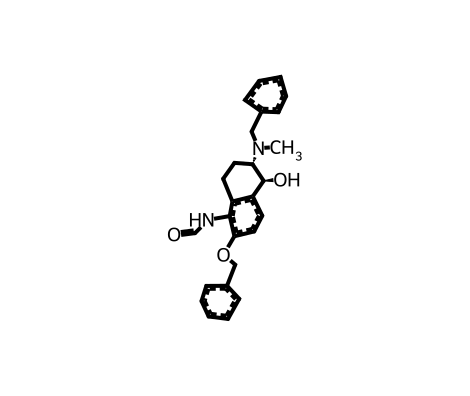 CN(Cc1ccccc1)[C@H]1CCc2c(ccc(OCc3ccccc3)c2NC=O)[C@@H]1O